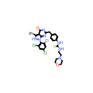 CC(C)c1[nH]n(-c2c(Cl)cc(Cl)cc2Cl)c2nc(Cc3ccc(NC(=S)NCCN4CCOCC4)cc3)nc(=O)c1-2